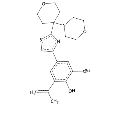 C=C(C)c1cc(-c2csc(C3(N4CCOCC4)CCOCC3)n2)cc(C(C)(C)C)c1O